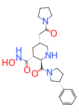 O=C(NO)[C@@H]1C[C@H](CC(=O)N2CCCC2)CN[C@H]1C(=O)N1CC[C@H](c2ccccc2)C1